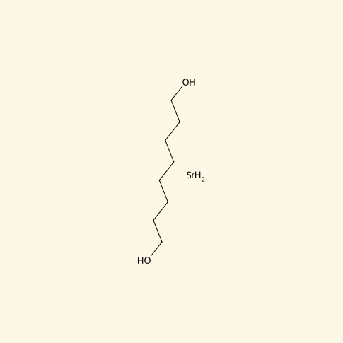 OCCCCCCCCO.[SrH2]